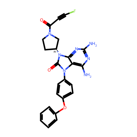 Nc1nc(N)c2c(n1)n([C@@H]1CCN(C(=O)C#CF)C1)c(=O)n2-c1ccc(Oc2ccccc2)cc1